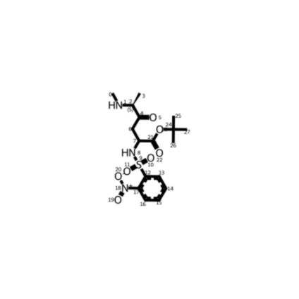 CN[C@@H](C)C(=O)CC(NS(=O)(=O)c1ccccc1[N+](=O)[O-])C(=O)OC(C)(C)C